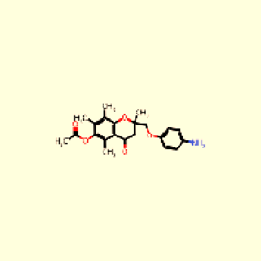 CC(=O)Oc1c(C)c(C)c2c(c1C)C(=O)CC(C)(COc1ccc(N)cc1)O2